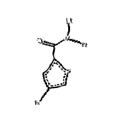 CCN(CC)C(=O)c1cc(Br)cs1